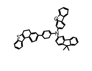 CC1(C)c2ccccc2-c2cc(N(C3=CC=C(c4ccc5c(c4)CCc4sc6ccccc6c4-5)CC3)c3ccc4c(c3)oc3ccccc34)ccc21